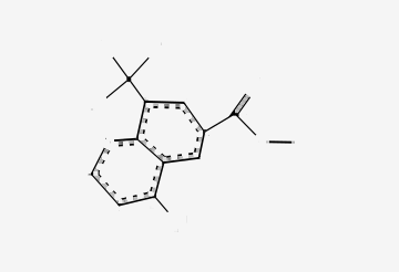 COC(=O)c1cc(C(F)(F)F)c2nccc(O)c2c1